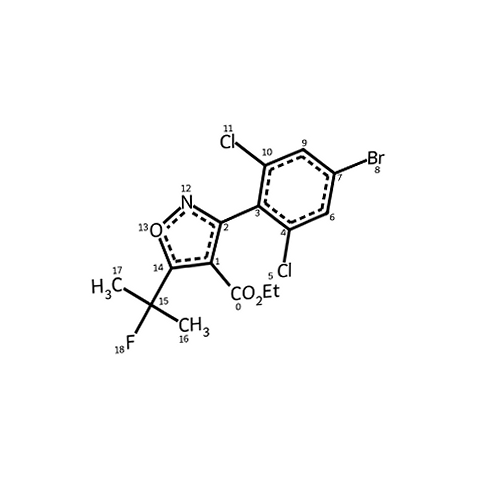 CCOC(=O)c1c(-c2c(Cl)cc(Br)cc2Cl)noc1C(C)(C)F